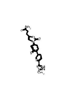 Cn1nnc(-c2ccc(-c3ccc(N4CC(CCC(N)=O)OC4=O)cc3F)cn2)n1